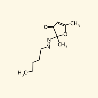 CCCCC/N=N/C1(C)OC(C)=CC1=O